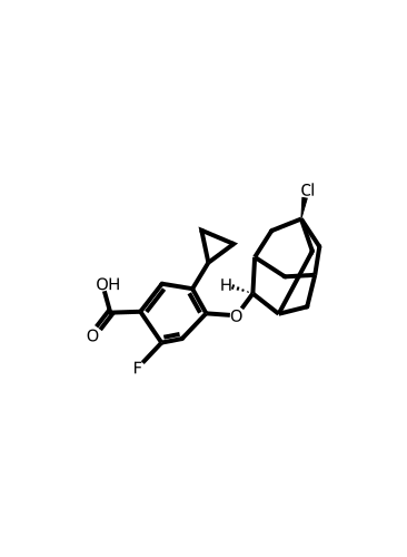 O=C(O)c1cc(C2CC2)c(O[C@H]2C3CC4CC2C[C@@](Cl)(C4)C3)cc1F